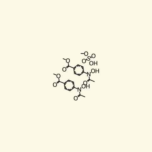 COC(=O)c1ccc(N(O)C(C)=O)cc1.COC(=O)c1ccc(N(O)C(C)=O)cc1.COS(=O)(=O)O